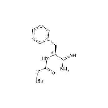 CC(C)(C)OC(=O)N[C@@H](Cc1ccccc1)C(=N)N